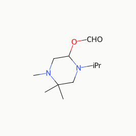 CC(C)N1CC(C)(C)N(C)CC1OC=O